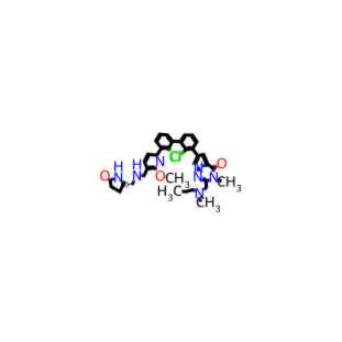 CCCN(C)Cc1nn2cc(-c3cccc(-c4cccc(-c5ccc(CNC[C@@H]6CCC(=O)N6)c(OC)n5)c4Cl)c3Cl)cc2c(=O)n1C